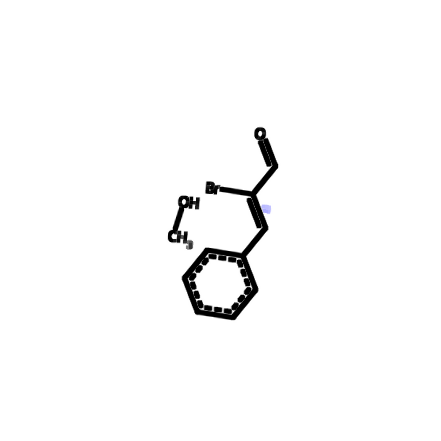 CO.O=C/C(Br)=C/c1ccccc1